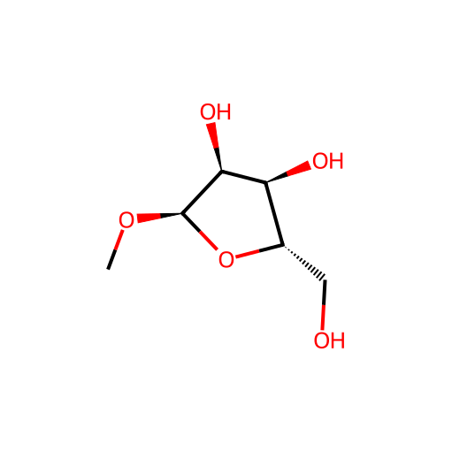 CO[C@@H]1O[C@@H](CO)[C@H](O)[C@@H]1O